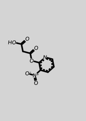 O=C(O)CC(=O)Oc1ncccc1[N+](=O)[O-]